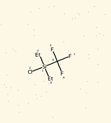 CC[Si](Cl)(CC)C(F)(F)F